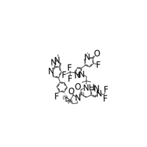 Cn1cc2cc(-c3ccc([C@H]4C[C@@]45CCN([C@H](Cc4cnn(C(F)F)c4)C(=O)NC(C)(C)Cn4nc(C(F)(F)F)cc4-c4cc(F)c(=O)n(C)c4)C5=O)c(F)c3)cnc2n1